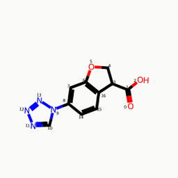 O=C(O)C1COc2cc(-n3cnnn3)ccc21